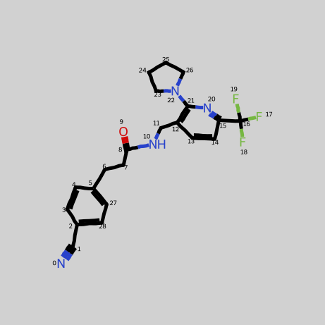 N#Cc1ccc(CCC(=O)NCc2ccc(C(F)(F)F)nc2N2CCCC2)cc1